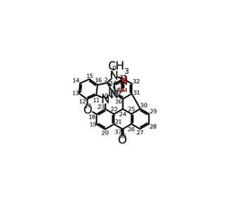 Cn1c2[n+](c3ccncc31)[N+]13c4c(cccc4-2)Oc2ccc4c(c21)C1c2c(cccc2-c2ccc[n+]3c21)C4=O